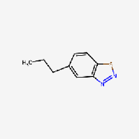 CCCc1ccc2snnc2c1